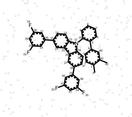 Cc1ccc(-c2ccccc2-n2c3ccc(-c4cc(F)cc(F)c4)cc3c3cc(-c4cc(F)cc(F)c4)ccc32)cc1C